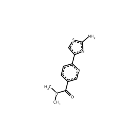 CN(C)C(=O)c1ccc(-c2csc(N)n2)nc1